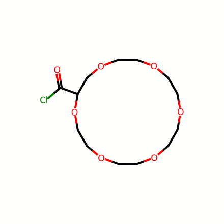 O=C(Cl)C1COCCOCCOCCOCCOCCO1